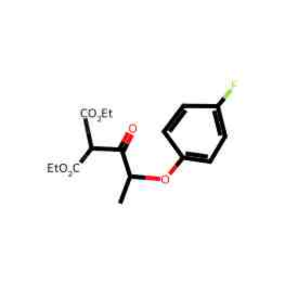 CCOC(=O)C(C(=O)OCC)C(=O)C(C)Oc1ccc(F)cc1